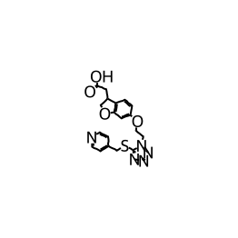 O=C(O)CC1COc2cc(OCCn3nnnc3SCc3ccncc3)ccc21